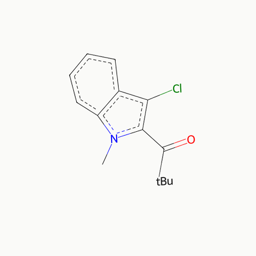 Cn1c(C(=O)C(C)(C)C)c(Cl)c2ccccc21